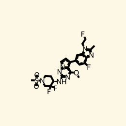 COc1nc(N[C@@H]2CCN(S(C)(=O)=O)CC2(F)F)nn2ccc(-c3cc(F)c4nc(C)n(CCF)c4c3)c12